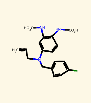 C=CCN(Cc1ccc(F)cc1)c1ccc(NC(=O)O)c(NC(=O)O)c1